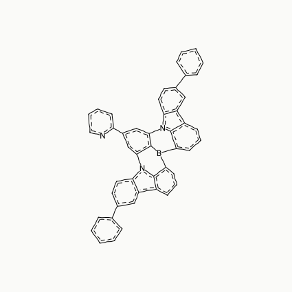 c1ccc(-c2ccc3c(c2)c2cccc4c2n3-c2cc(-c3ccccn3)cc3c2B4c2cccc4c5cc(-c6ccccc6)ccc5n-3c24)cc1